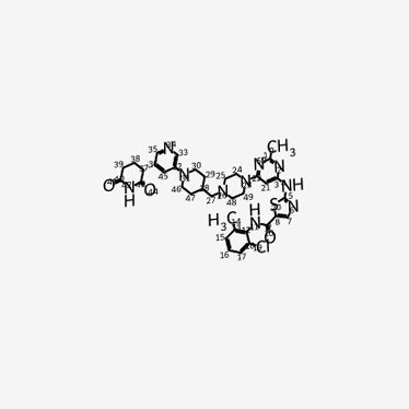 Cc1nc(Nc2ncc(C(=O)Nc3c(C)cccc3Cl)s2)cc(N2CCN(CC3CCN(c4cncc([C@H]5CCC(=O)NC5=O)c4)CC3)CC2)n1